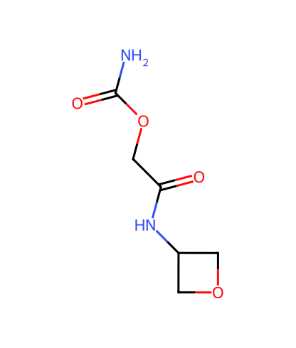 NC(=O)OCC(=O)NC1COC1